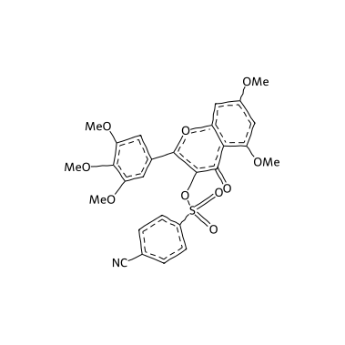 COc1cc(OC)c2c(=O)c(OS(=O)(=O)c3ccc(C#N)cc3)c(-c3cc(OC)c(OC)c(OC)c3)oc2c1